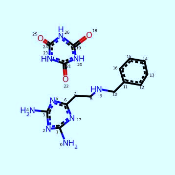 Nc1nc(N)nc(CCNCc2ccccc2)n1.O=c1[nH]c(=O)[nH]c(=O)[nH]1